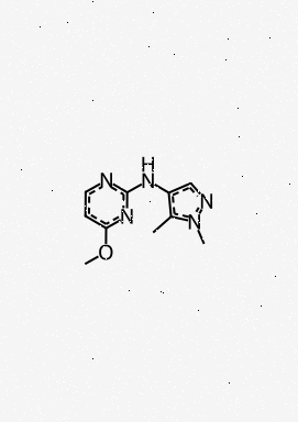 COc1ccnc(Nc2cnn(C)c2C)n1